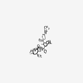 CCc1cc(C)[nH]c(=O)c1CNC(=O)c1cc2c(cnn2C)c(N(CC)C2CCC(N(C)CC(F)(F)F)CC2)c1C